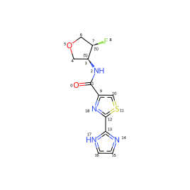 O=C(N[C@H]1COC[C@H]1F)c1csc(-c2ncc[nH]2)n1